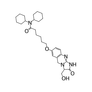 O=C1NC2=Nc3ccc(OCCCCCC(=O)N(C4CCCCC4)C4CCCCC4)cc3CN2C1CO